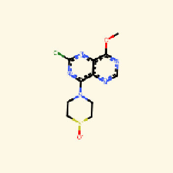 COc1ncnc2c(N3CC[S+]([O-])CC3)nc(Cl)nc12